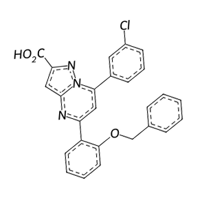 O=C(O)c1cc2nc(-c3ccccc3OCc3ccccc3)cc(-c3cccc(Cl)c3)n2n1